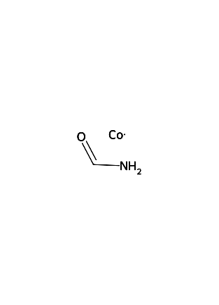 NC=O.[Co]